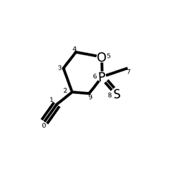 C#CC1CCOP(C)(=S)C1